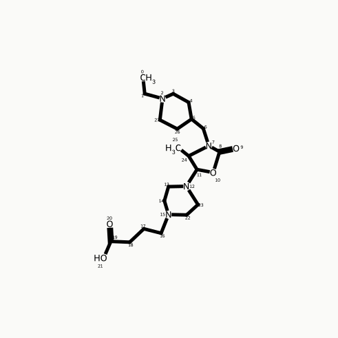 CCN1CCC(CN2C(=O)OC(N3CCN(CCCC(=O)O)CC3)C2C)CC1